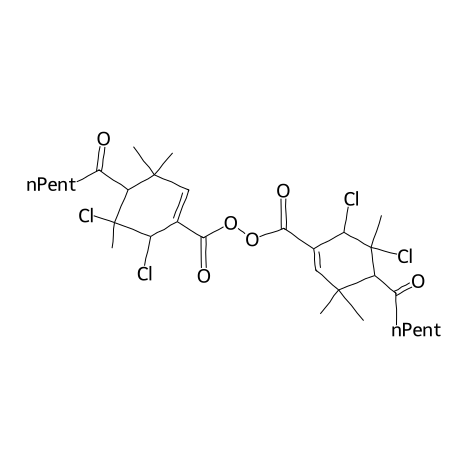 CCCCCC(=O)C1C(C)(C)C=C(C(=O)OOC(=O)C2=CC(C)(C)C(C(=O)CCCCC)C(C)(Cl)C2Cl)C(Cl)C1(C)Cl